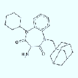 NC1C(=O)N(CC23CC4CC(CC(C4)C2)C3)c2ccccc2N(C2CCCCC2)C1=O